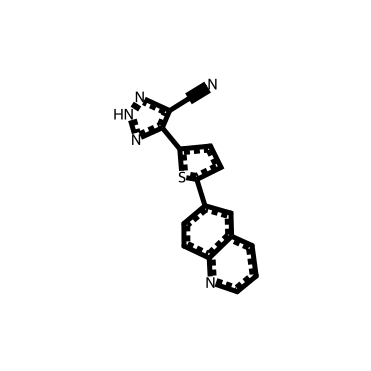 N#Cc1n[nH]nc1-c1ccc(-c2ccc3ncccc3c2)s1